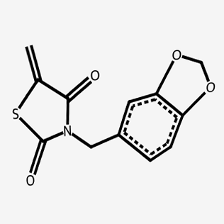 C=C1SC(=O)N(Cc2ccc3c(c2)OCO3)C1=O